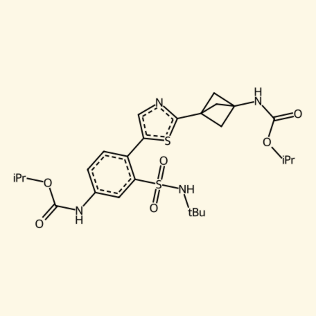 CC(C)OC(=O)Nc1ccc(-c2cnc(C34CC(NC(=O)OC(C)C)(C3)C4)s2)c(S(=O)(=O)NC(C)(C)C)c1